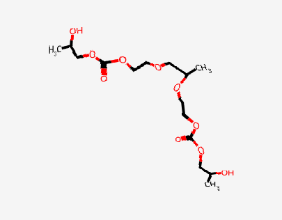 CC(O)COC(=O)OCCOCC(C)OCCOC(=O)OCC(C)O